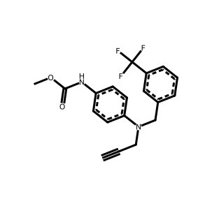 C#CCN(Cc1cccc(C(F)(F)F)c1)c1ccc(NC(=O)OC)cc1